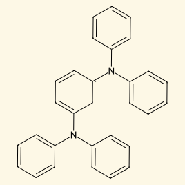 C1=C[C](N(c2ccccc2)c2ccccc2)CC(N(c2ccccc2)c2ccccc2)=C1